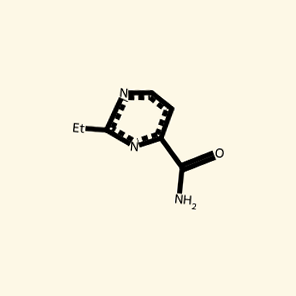 CCc1nccc(C(N)=O)n1